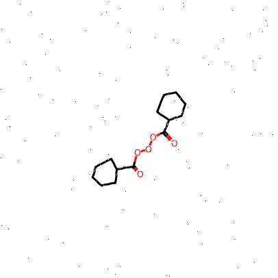 O=C(OOOC(=O)C1CCCCC1)C1CCCCC1